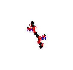 C=C(C)C(=O)OCCNC(=O)OC(COC(=O)c1ccc(C(=O)c2ccccc2)cc1)COc1ccc(C(C)(C)c2ccc(OCC(COC(=O)c3ccc(C(=O)c4ccccc4)cc3)OC(=O)NCCOC(=O)C(=C)C)cc2)cc1